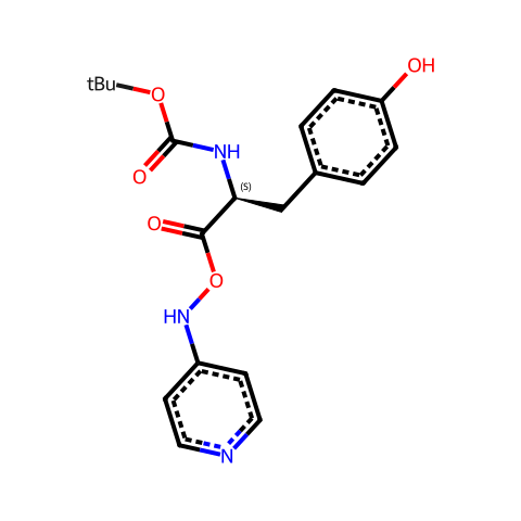 CC(C)(C)OC(=O)N[C@@H](Cc1ccc(O)cc1)C(=O)ONc1ccncc1